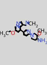 C=NCc1cnn2cc(OCC)cc(-c3ccc(N4CC[C@@H](N)[C@H](OC)C4)nc3)c12